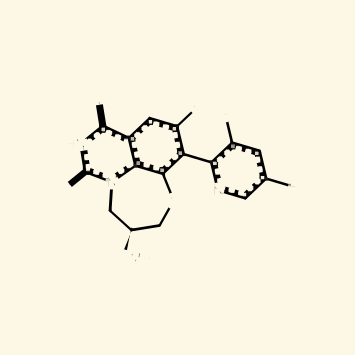 CO[C@@H]1CSc2c(-c3ncc(F)cc3F)c(C(F)(F)F)cc3c(=O)[nH]c(=O)n(c23)C1